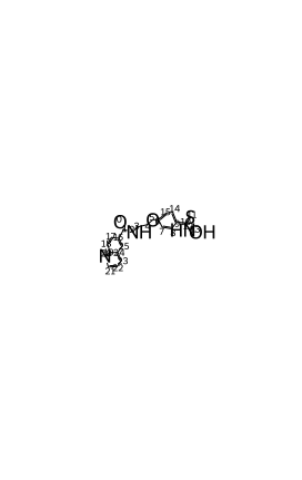 O=C(NCCOc1ccc(C(=S)NO)cc1)c1ccc2ncccc2c1